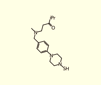 CC(C)C(=O)CCN(C)Cc1ccc(N2CCN(S)CC2)cc1